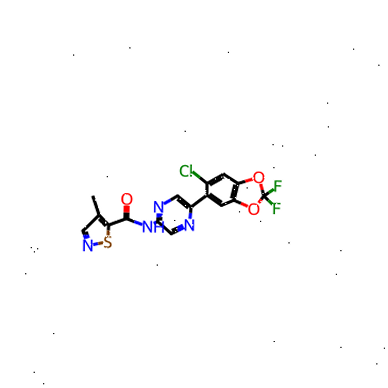 Cc1cnsc1C(=O)Nc1cnc(-c2cc3c(cc2Cl)OC(F)(F)O3)cn1